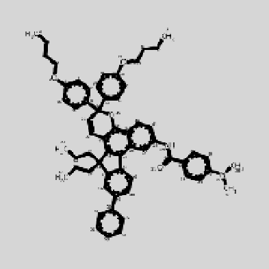 CCCCOc1ccc(C2(c3ccc(OCCCC)cc3)C=Cc3c4c(c5cc(NC(=O)c6ccc(N(C)C)cc6)ccc5c3O2)-c2ccc(-c3ccccc3)cc2C4(CCC)CCC)cc1